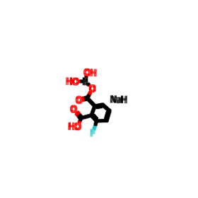 O=C(OB(O)O)c1cccc(F)c1C(=O)O.[NaH]